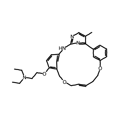 CCN(CC)CCOc1ccc2cc1COC/C=C/CCOc1cccc(c1)-c1nc(ncc1C)N2